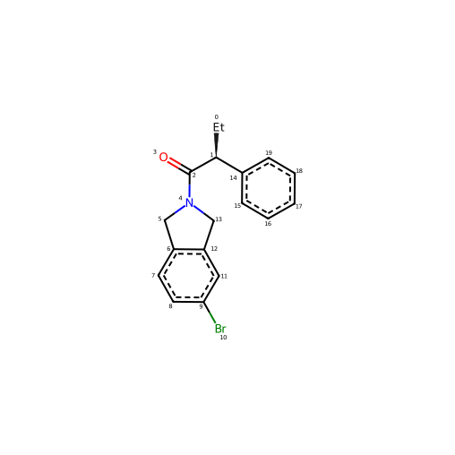 CC[C@H](C(=O)N1Cc2ccc(Br)cc2C1)c1ccccc1